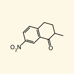 CC1CCc2ccc([N+](=O)[O-])cc2C1=O